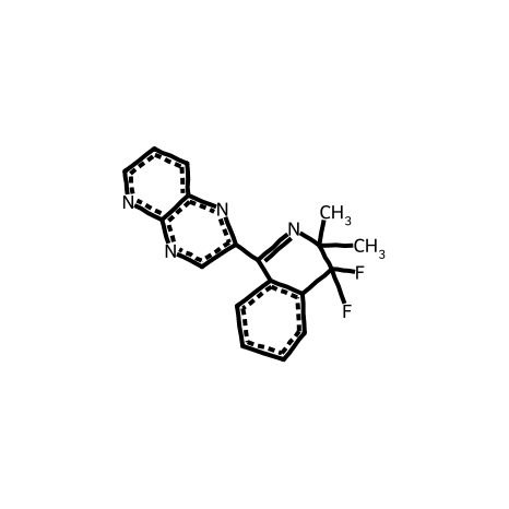 CC1(C)N=C(c2cnc3ncccc3n2)c2ccccc2C1(F)F